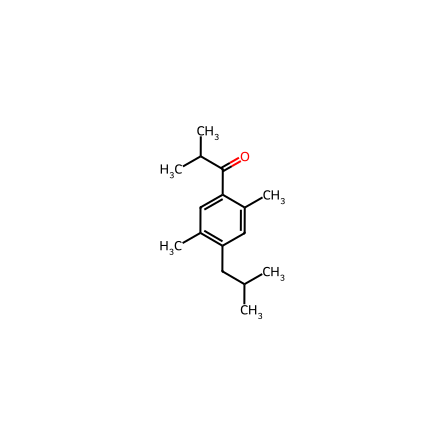 Cc1cc(C(=O)C(C)C)c(C)cc1CC(C)C